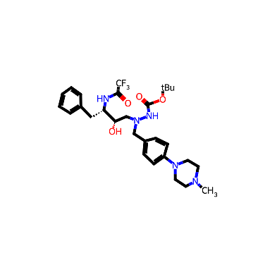 CN1CCN(c2ccc(CN(C[C@H](O)[C@H](Cc3ccccc3)NC(=O)C(F)(F)F)NC(=O)OC(C)(C)C)cc2)CC1